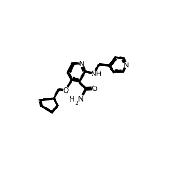 NC(=O)c1c(OCC2CCCC2)ccnc1NCc1ccncc1